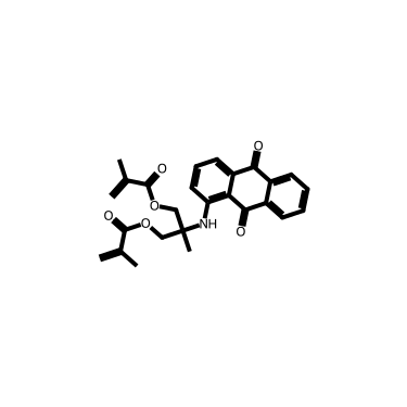 C=C(C)C(=O)OCC(C)(COC(=O)C(=C)C)Nc1cccc2c1C(=O)c1ccccc1C2=O